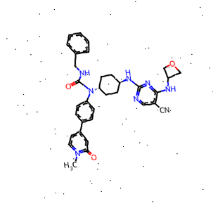 Cn1ccc(-c2ccc(N(C(=O)NCc3ccccc3)[C@H]3CC[C@H](Nc4ncc(C#N)c(NC5COC5)n4)CC3)cc2)cc1=O